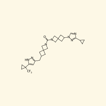 O=C(N1CC2(CC(Cc3cc(C4(C(F)(F)F)CC4)[nH]n3)C2)C1)N1CC2(CC(n3cnc(C4CC4)n3)C2)C1